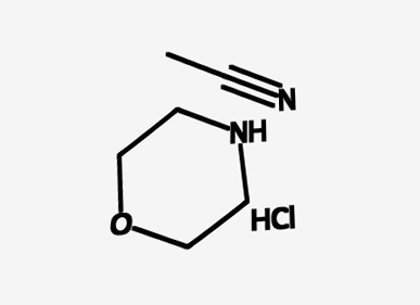 C1COCCN1.CC#N.Cl